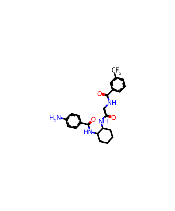 Nc1ccc(C(=O)NC2CCCCC2NC(=O)CNC(=O)c2cccc(C(F)(F)F)c2)cc1